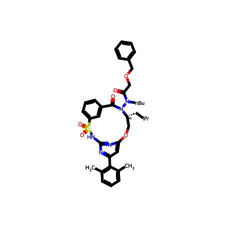 CCCCN(C(=O)COCc1ccccc1)N1C(=O)c2cccc(c2)S(=O)(=O)Nc2nc(cc(-c3c(C)cccc3C)n2)OC[C@H]1CC(C)C